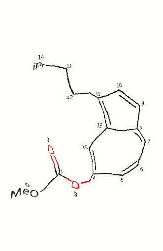 COC(=O)Oc1cccc2ccc(CCC(C)C)c-2c1